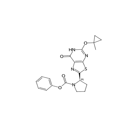 CC1(Oc2nc3sc([C@H]4CCCN4C(=O)Oc4ccccc4)nc3c(=O)[nH]2)CC1